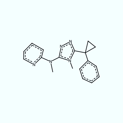 CN(c1ccccn1)c1nnc(C2(c3ccccc3)CC2)n1C